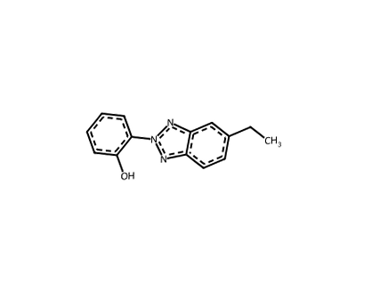 CCc1ccc2nn(-c3ccccc3O)nc2c1